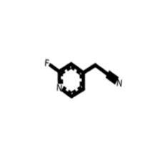 N#CCc1ccnc(F)c1